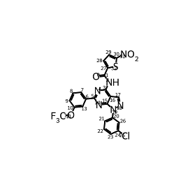 O=C(Nc1nc(-c2cccc(OC(F)(F)F)c2)nc2c1cnn2-c1cccc(Cl)c1)c1ccc([N+](=O)[O-])s1